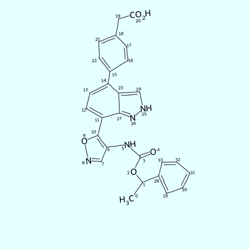 CC(OC(=O)Nc1cnoc1-c1ccc(-c2ccc(CC(=O)O)cc2)c2c[nH]nc12)c1ccccc1